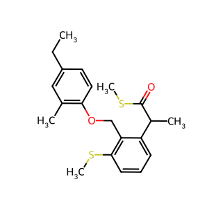 CCc1ccc(OCc2c(SC)cccc2C(C)C(=O)SC)c(C)c1